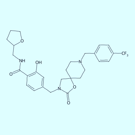 O=C(NCC1CCCO1)c1ccc(CN2CC3(CCN(Cc4ccc(C(F)(F)F)cc4)CC3)OC2=O)cc1O